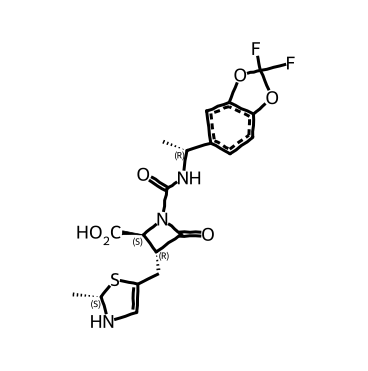 C[C@H]1NC=C(C[C@H]2C(=O)N(C(=O)N[C@H](C)c3ccc4c(c3)OC(F)(F)O4)[C@@H]2C(=O)O)S1